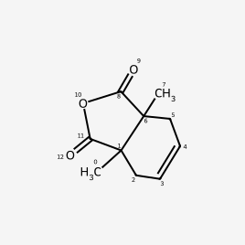 CC12CC=CCC1(C)C(=O)OC2=O